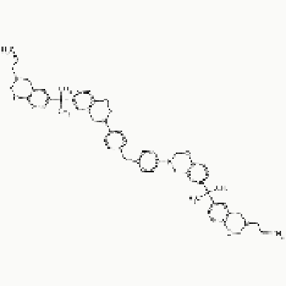 C=CCN1COc2ccc(C(C)(C)c3ccc4c(c3)CN(c3ccc(Cc5ccc(N6COc7ccc(C(C)(C)c8ccc9c(c8)CN(CC=C)CO9)cc7C6)cc5)cc3)CO4)cc2C1